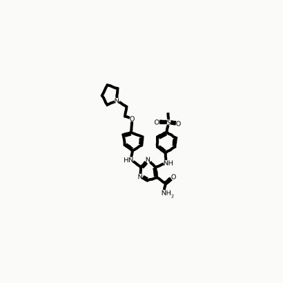 CS(=O)(=O)c1ccc(Nc2nc(Nc3ccc(OCCN4CCCC4)cc3)ncc2C(N)=O)cc1